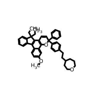 CCC1(CC)c2ccccc2-c2c1c1c(c3cc(OC)ccc23)OC(c2ccccc2)(c2ccc(CCC3CCCOCC3)cc2)C=C1